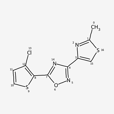 Cc1nc(-c2noc(-c3sccc3Cl)n2)cs1